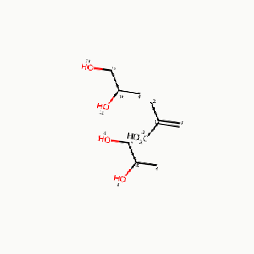 C=C(C)C(=O)O.CC(O)CO.CC(O)CO